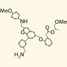 COCC(C)OC(=O)Cc1ccccc1OCc1cc(-c2cccc(CN)c2)c2oc(CNc3ccc(OC)cc3)cc2c1